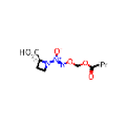 CC(C)C(=O)OCON=[N+]([O-])N1CC[C@H]1C(=O)O